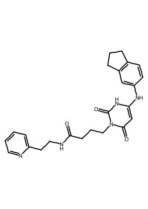 O=C(CCCn1c(=O)cc(Nc2ccc3c(c2)CCC3)[nH]c1=O)NCCc1ccccn1